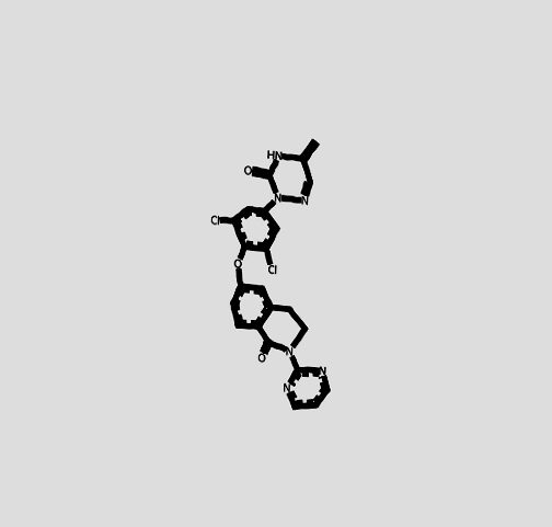 C=C1C=NN(c2cc(Cl)c(Oc3ccc4c(c3)CCN(c3ncccn3)C4=O)c(Cl)c2)C(=O)N1